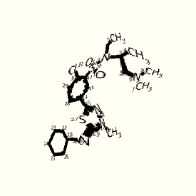 CCN(C(C)CN(C)C)S(=O)(=O)c1cc(-c2nn(C)c(=NC3CCCCC3)s2)ccc1Cl